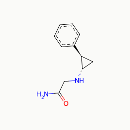 NC(=O)CN[C@H]1C[C@@H]1c1ccccc1